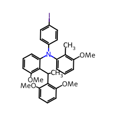 COc1cccc(N(c2ccc(I)cc2)c2cccc(OC)c2C(C)c2c(OC)cccc2OC)c1C